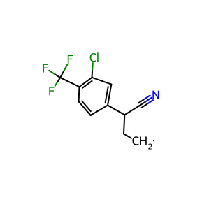 [CH2]CC(C#N)c1ccc(C(F)(F)F)c(Cl)c1